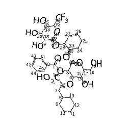 O=C(OC1C(O[C@@H](CC2CCCCC2)C(=O)O)[C@@H](O)C(CO)O[C@H]1O[C@@H]1CCC=CC1O[C@@H]1OC(C(F)(F)F)[C@@H](O)C(O)C1O)c1ccccc1